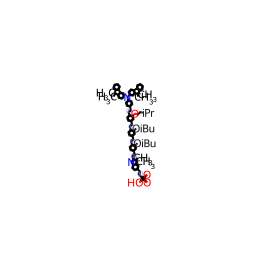 CC(C)CCOc1cc(/C=C/c2ccc(/C=C/c3ccc(/C=C/C4=Nc5ccc(/C=C/c6c(O)c(=O)c6=O)cc5C4(C)C)cc3OCC(C)C)cc2OCC(C)C)ccc1/C=C/c1ccc(N(c2ccc3c(c2)-c2ccccc2C3(C)C)c2ccc3c(c2)C(C)(C)c2ccccc2-3)cc1